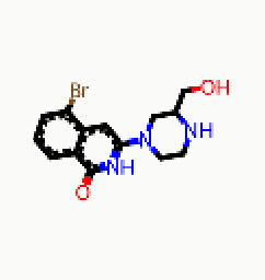 O=c1[nH]c(N2CCNC(CO)C2)cc2c(Br)cccc12